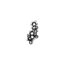 C[C@]12CCC(=O)N(Cc3ccccc3)C1=CC[C@@H]1[C@@H]2C(=O)C[C@]2(C)C(=O)CC[C@@H]12